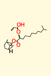 C=C(CCCCCCCC(C)C)C(=O)OC1C[C@H]2CC[C@@]1(C)C2(C)C.C=CC(=O)O